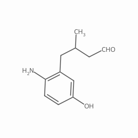 CC(CC=O)Cc1cc(O)ccc1N